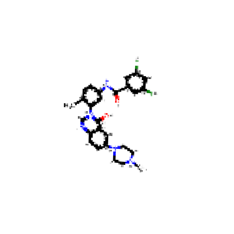 Cc1ccc(NC(=O)c2cc(F)cc(F)c2)cc1-n1cnc2ccc(N3CCN(C)CC3)cc2c1=O